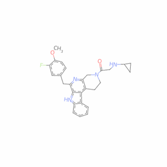 COc1ccc(Cc2nc3c(c4c2[nH]c2ccccc24)CCN(C(=O)CNC2CC2)C3)cc1F